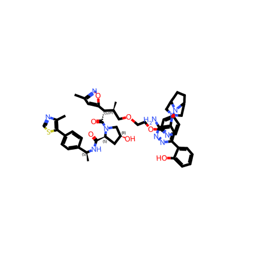 Cc1cc([C@@H](C(=O)N2C[C@H](O)C[C@H]2C(=O)N[C@@H](C)c2ccc(-c3scnc3C)cc2)[C@@H](C)COCCOc2cc(N3C4CCC3CN(c3cc(-c5ccccc5O)nnc3N)C4)ccn2)on1